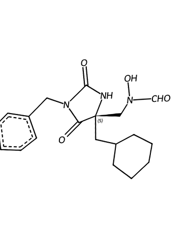 O=CN(O)C[C@]1(CC2CCCCC2)NC(=O)N(Cc2ccccc2)C1=O